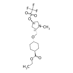 CCOC(=O)[C@H]1CC[C@H](OC[C@@H]2C[C@@H](OS(=O)(=O)C(F)(F)F)CN2C)CC1